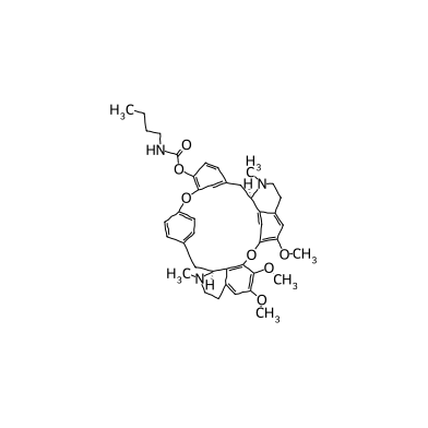 CCCCNC(=O)Oc1ccc2cc1Oc1ccc(cc1)C[C@H]1c3c(cc(OC)c(OC)c3Oc3cc4c(cc3OC)CCN(C)[C@@H]4C2)CCN1C